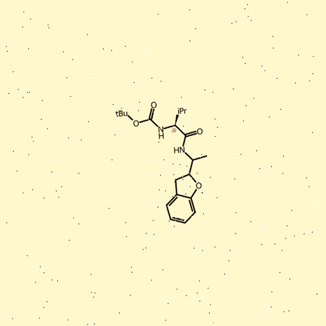 CC(NC(=O)[C@@H](NC(=O)OC(C)(C)C)C(C)C)C1Cc2ccccc2O1